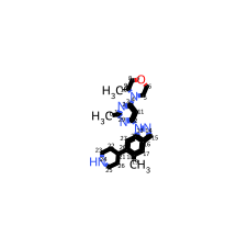 Cc1nc(N2CCOC[C@H]2C)cc(-n2ncc3cc(C)c(C4CCNCC4)cc32)n1